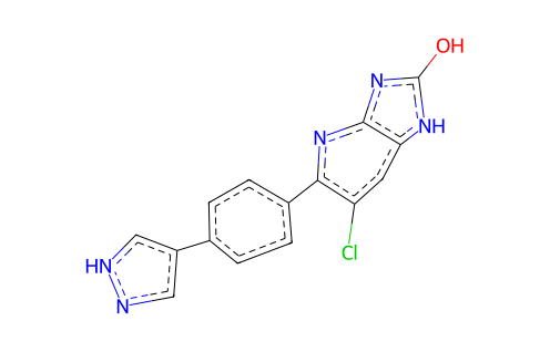 Oc1nc2nc(-c3ccc(-c4cn[nH]c4)cc3)c(Cl)cc2[nH]1